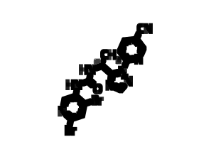 C[C@H](NC(=O)Nc1cnc(Br)cc1Br)c1ncnn1-c1ccc(C#N)cn1